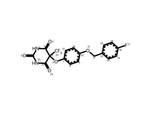 O=C1NC(=O)C(Oc2ccc(OCc3ccc(F)cc3)cc2)(C(F)(F)F)C(=O)N1